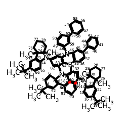 CC(C)(C)c1ccc(N2c3ccc(N4c5ccc(C(C)(C)C)cc5C5(C)CCCCC45C)cc3B3c4ccc(-c5ccccc5)cc4N(c4cccc(-c5ccccc5)c4)c4cc(N5c6ccc(C(C)(C)C)cc6C6(C)CCCCC56C)cc2c43)c(-c2ccccc2)c1